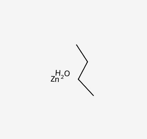 CCCC.O.[Zn]